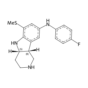 CSc1cc(Nc2ccc(F)cc2)cc2c1N[C@H]1CCNC[C@@H]21